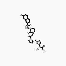 CC(=O)N(C)C1CCN(C[C@@H]2CCCN2C(=O)CN2CCC[C@H](NS(=O)(=O)c3ccc4ccc(Cl)cc4c3)C2=O)C1